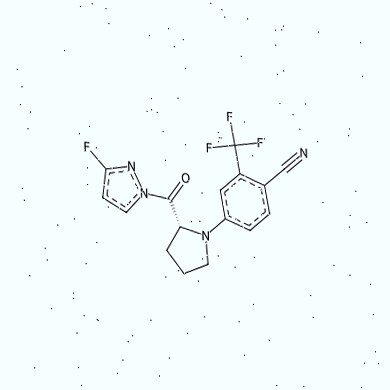 N#Cc1ccc(N2CCC[C@@H]2C(=O)n2ccc(F)n2)cc1C(F)(F)F